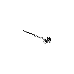 CCCCCCCCC=CCCCCCCCC(=O)C1=NCCN1C